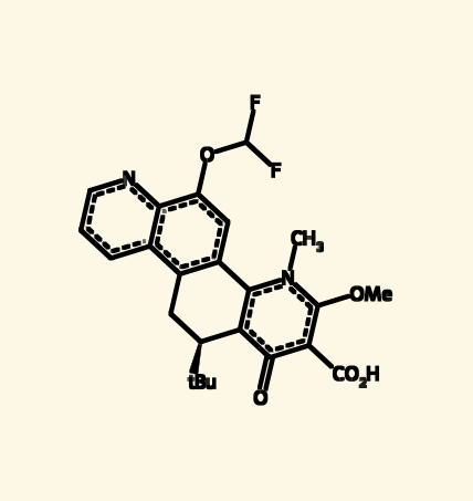 COc1c(C(=O)O)c(=O)c2c(n1C)-c1cc(OC(F)F)c3ncccc3c1C[C@@H]2C(C)(C)C